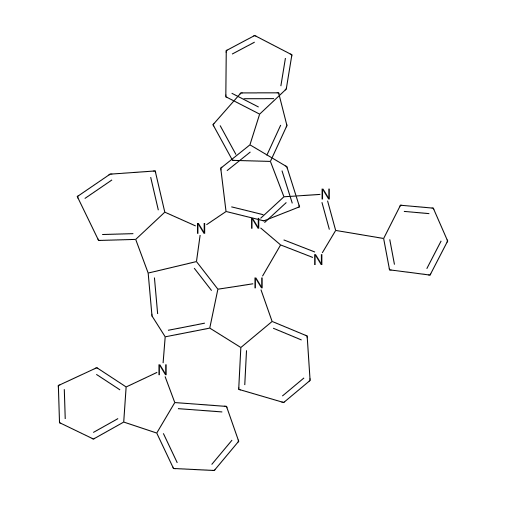 c1ccc(-c2cccc(-n3c4ccccc4c4cc(-n5c6ccccc6c6ccccc65)c5c6ccccc6n(-c6nc(-c7ccccc7)nc(-c7ccccc7)n6)c5c43)c2)cc1